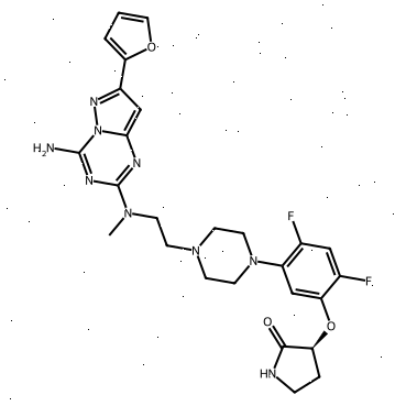 CN(CCN1CCN(c2cc(O[C@H]3CCNC3=O)c(F)cc2F)CC1)c1nc(N)n2nc(-c3ccco3)cc2n1